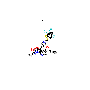 COc1ccc2ncc(N(C)C)c([C@H](O)CCC3(CO)CCN(CCSc4cc(F)cc(F)c4F)CC3)c2c1